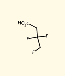 O=C(O)CC(F)(F)CF